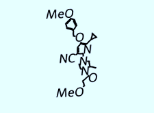 COCCC(=O)N1CCN(c2nc(C3CC3)c(OCc3ccc(OC)cc3)cc2C#N)CC1C